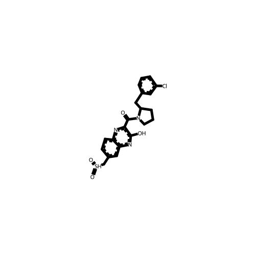 O=C(c1nc2ccc(C[SH](=O)=O)cc2nc1O)N1CCCC1Cc1cccc(Cl)c1